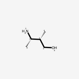 C[C@H](N)[C@H](C)CO